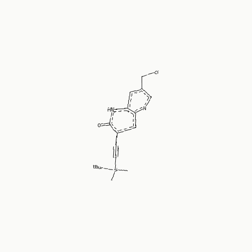 CC(C)(C)[Si](C)(C)C#Cc1cc2ncc(CCl)cc2[nH]c1=O